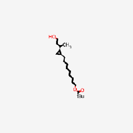 CC(CCO)[C@H]1C[C@@H]1CCCCCCCCCOC(=O)C(C)(C)C